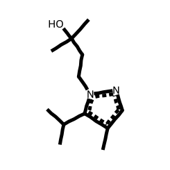 Cc1cnn(CCC(C)(C)O)c1C(C)C